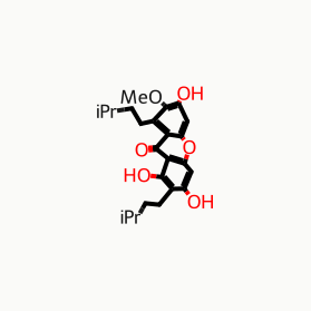 COc1c(O)cc2oc3cc(O)c(CCC(C)C)c(O)c3c(=O)c2c1CCC(C)C